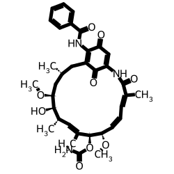 CO[C@H]1/C=C\C=C(/C)C(=O)NC2=CC(=O)C(NC(=O)c3ccccc3)=C(C[C@@H](C)C[C@H](OC)[C@H](O)[C@@H](C)/C=C(\C)[C@@H]1OC(N)=O)C2=O